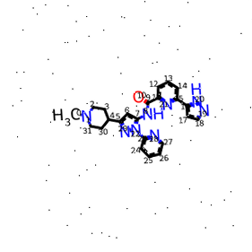 CN1CCC(c2cc(NC(=O)c3cccc(-c4ccn[nH]4)n3)n(-c3ccccn3)n2)CC1